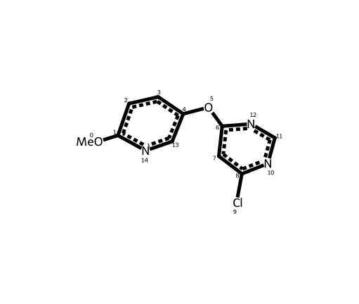 COc1ccc(Oc2cc(Cl)ncn2)cn1